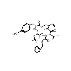 C=C[C@H](COC(=O)[C@H](Cc1ccc(O)cc1)NC[C@@H](NC(C)=O)C(C)C)NC(=O)[C@@H](NC(=O)OCc1ccccc1)C(C)C